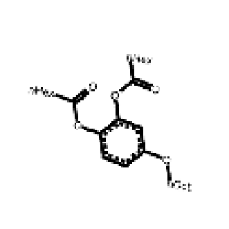 CCCCCCCCOc1ccc(OC(=O)CCCCCC)c(OC(=O)CCCCCC)c1